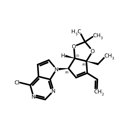 C=CC1=C[C@@H](n2ccc3c(Cl)ncnc32)[C@@H]2OC(C)(C)O[C@]12CC